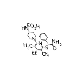 CCc1c(C)c(N2CCC(NC(=O)O)CC2)nc(SC(C(N)=O)c2ccccc2)c1C#N